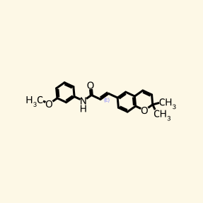 COc1cccc(NC(=O)/C=C/c2ccc3c(c2)C=CC(C)(C)O3)c1